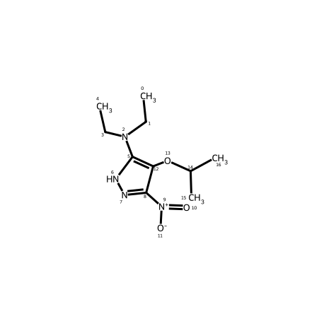 CCN(CC)c1[nH]nc([N+](=O)[O-])c1OC(C)C